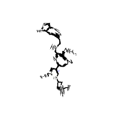 N=C/C(=C\NC1CNC1)c1cnc(N)c(NCc2cc3[nH]ncc3s2)n1